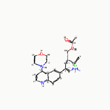 C=C(Cl)/C(=C\C(=C/N)c1ccc2nccc(N3CCOCC3)c2c1)COC(C)=O